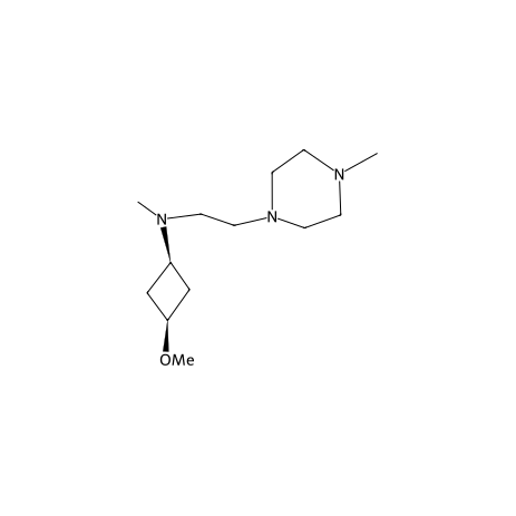 CO[C@H]1C[C@@H](N(C)CCN2CCN(C)CC2)C1